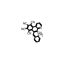 C=c1cccc/c1=C/c1c(C)c2ncccc2c2c(C#N)c(C#N)c(C#N)c(C#N)c12